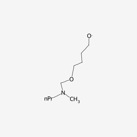 CCCN(C)COCCCC[O]